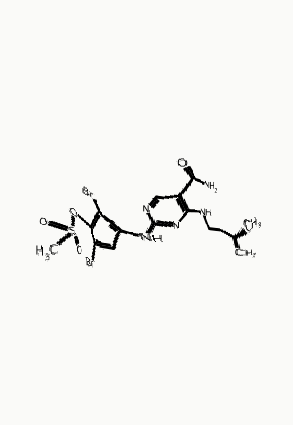 CC(C)CNc1nc(Nc2cc(Br)c(OS(C)(=O)=O)c(Br)c2)ncc1C(N)=O